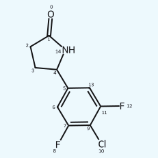 O=C1CCC(c2cc(F)c(Cl)c(F)c2)N1